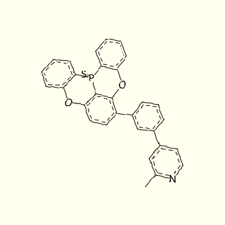 Cc1cc(-c2cccc(-c3ccc4c5c3Oc3ccccc3P5(=S)c3ccccc3O4)c2)ccn1